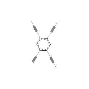 C#Cc1cc(C#CP)c(C#CP)cc1C#CP